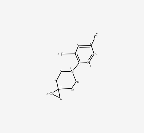 Fc1cc(Cl)cnc1N1CCC2(CC1)CO2